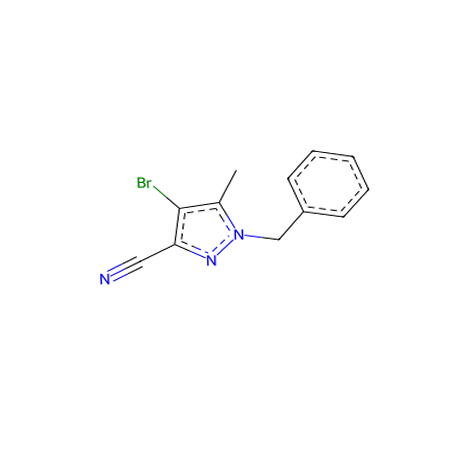 Cc1c(Br)c(C#N)nn1Cc1ccccc1